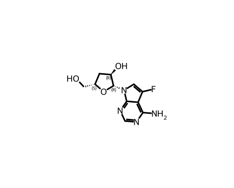 Nc1ncnc2c1c(F)cn2[C@@H]1O[C@H](CO)C[C@H]1O